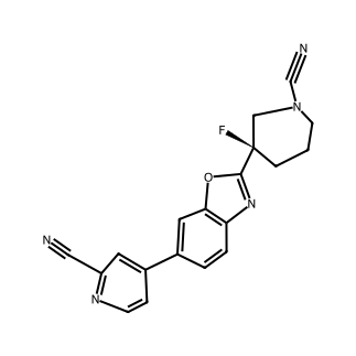 N#Cc1cc(-c2ccc3nc([C@@]4(F)CCCN(C#N)C4)oc3c2)ccn1